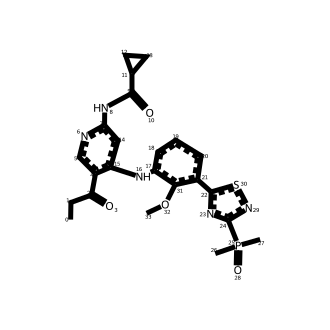 CCC(=O)c1cnc(NC(=O)C2CC2)cc1Nc1cccc(-c2nc(P(C)(C)=O)ns2)c1OC